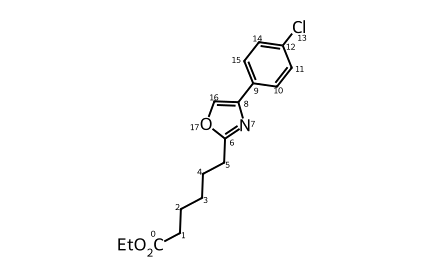 CCOC(=O)CCCCCc1nc(-c2ccc(Cl)cc2)co1